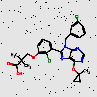 CC1(Oc2ncnc3c2nc(-c2cccc(OCC(C)(C)C(=O)O)c2Cl)n3Cc2cccc(Cl)c2)CC1